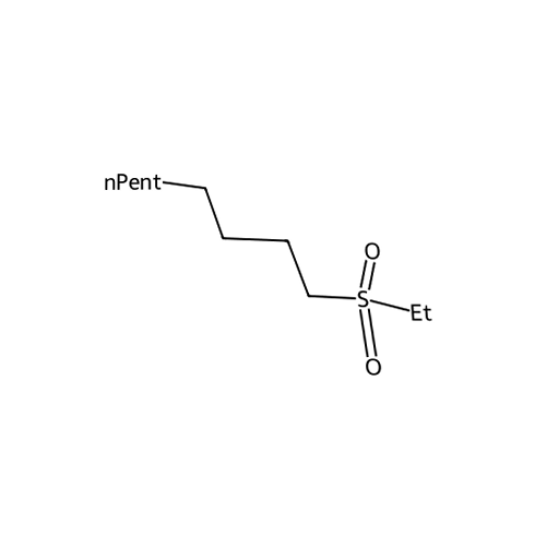 CCCCCCCCCS(=O)(=O)CC